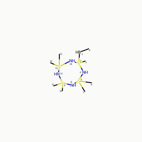 CBS1(C)NS(C)(C)NS(C)(C)NS(C)(C)N1